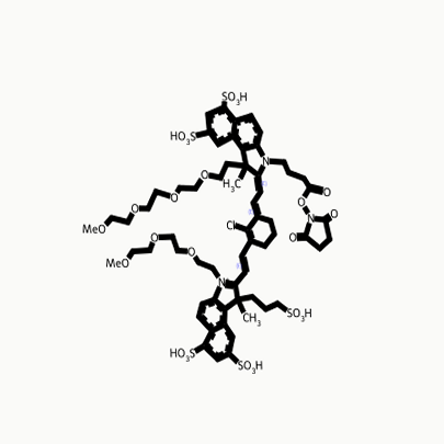 COCCOCCOCCOCCC1(C)/C(=C\C=C2/CCCC(/C=C/C3=[N+](CCOCCOCCOC)c4ccc5c(S(=O)(=O)O)cc(S(=O)(=O)O)cc5c4C3(C)CCCS(=O)(=O)O)=C2Cl)N(CCCC(=O)ON2C(=O)CCC2=O)c2ccc3c(S(=O)(=O)O)cc(S(=O)(=O)O)cc3c21